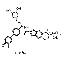 CC(C)(C)[C@H]1CCc2nc3sc(C(=O)N[C@H](CCN4C[C@@H](O)[C@H](O)C4)c4ccc(-c5ccc(=O)[nH]c5)cc4)cc3cc2C1.O=CO